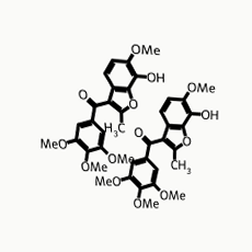 COc1cc(C(=O)c2c(C)oc3c(O)c(OC)ccc23)cc(OC)c1OC.COc1cc(C(=O)c2c(C)oc3c(O)c(OC)ccc23)cc(OC)c1OC